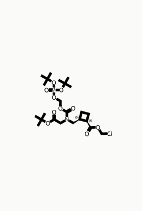 CC(C)(C)OC(=O)CN(C[C@H]1CC[C@H]1C(=O)OCCl)C(=O)OCOP(=O)(OC(C)(C)C)OC(C)(C)C